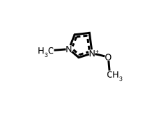 CO[n+]1ccn(C)c1